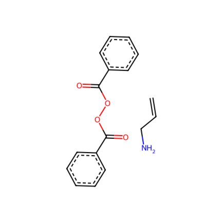 C=CCN.O=C(OOC(=O)c1ccccc1)c1ccccc1